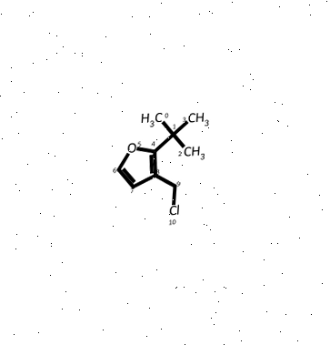 CC(C)(C)c1occc1CCl